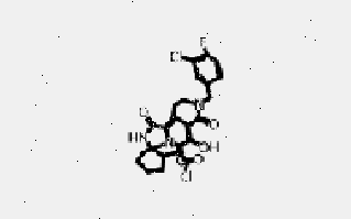 O=C(Cl)CC1CCCCC12NC(=O)c1c3c(c(O)c(=O)n12)C(=O)N(Cc1ccc(F)c(Cl)c1)CC3